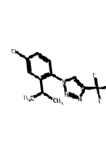 CC(C)c1cc(Cl)ccc1-n1cc(C(F)(F)F)nn1